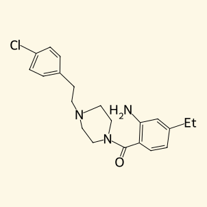 CCc1ccc(C(=O)N2CCN(CCc3ccc(Cl)cc3)CC2)c(N)c1